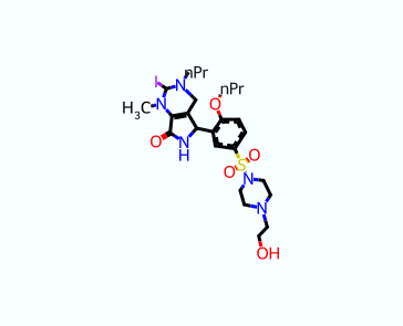 CCCOc1ccc(S(=O)(=O)N2CCN(CCO)CC2)cc1C1NC(=O)C2=C1CN(CCC)C(I)N2C